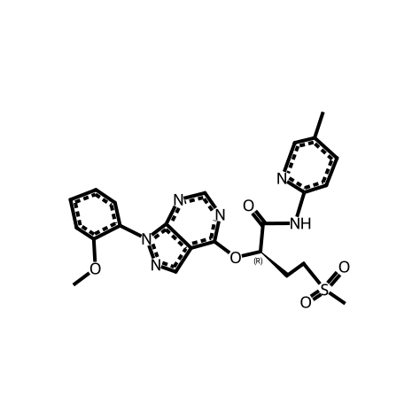 COc1ccccc1-n1ncc2c(O[C@H](CCS(C)(=O)=O)C(=O)Nc3ccc(C)cn3)ncnc21